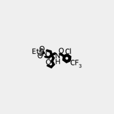 CCS(=O)(=O)N1CCC(CNC(=O)c2ccc(C(F)(F)F)cc2Cl)(CC2CCCO2)CC1